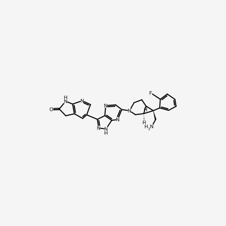 NC[C@]1(c2ccccc2F)[C@@H]2CCN(c3cnc4c(-c5cnc6c(c5)CC(=O)N6)n[nH]c4n3)C[C@@H]21